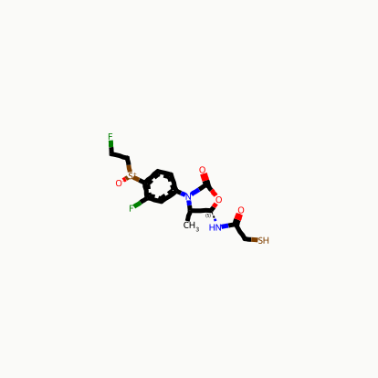 CC1[C@@H](NC(=O)CS)OC(=O)N1c1ccc([S+]([O-])CCF)c(F)c1